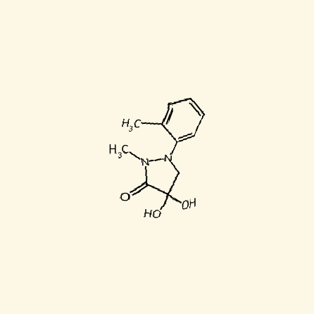 Cc1ccccc1N1CC(O)(O)C(=O)N1C